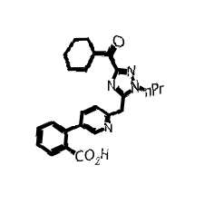 CCCn1nc(C(=O)C2CCCCC2)nc1Cc1ccc(-c2ccccc2C(=O)O)cn1